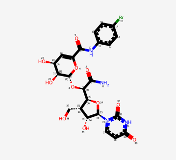 NC(=O)[C@H](O[C@H]1OC(C(=O)Nc2ccc(Br)cc2)=C[C@H](O)[C@@H]1O)[C@H]1O[C@@H](n2ccc(=O)[nH]c2=O)[C@H](O)[C@@H]1CO